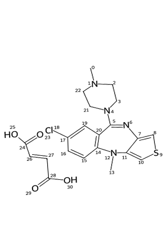 CN1CCN(C2=Nc3cscc3N(C)c3ccc(Cl)cc32)CC1.O=C(O)C=CC(=O)O